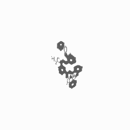 C=C(/C=C/c1ccccc1COc1ccccc1)c1cccc(C2=CNNC(c3ccccc3COc3ccccc3)=C2)c1